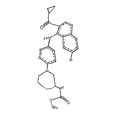 CC(C)(C)OC(=O)NC1CCCN(c2ccc(Nc3c(C(=O)C4CC4)cnc4ccc(Br)cc34)cn2)C1